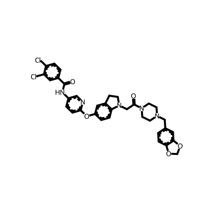 O=C(Nc1ccc(Oc2ccc3c(c2)CCN3CC(=O)N2CCN(Cc3ccc4c(c3)OCO4)CC2)nc1)c1ccc(Cl)c(Cl)c1